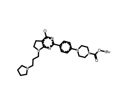 CC(C)(C)OC(=O)N1CCN(c2ccc(-c3nc(Cl)c4c(n3)N(CCCN3CCCC3)CC4)cc2)CC1